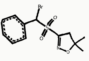 CC1(C)CC(S(=O)(=O)C(Br)c2ccccc2)=NO1